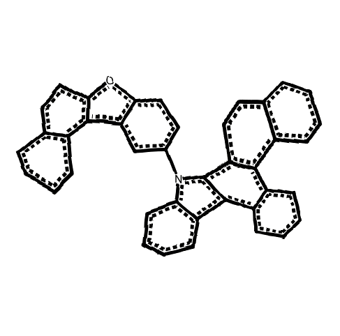 c1ccc2c(c1)ccc1oc3ccc(-n4c5ccccc5c5c6ccccc6c6c7ccccc7ccc6c54)cc3c12